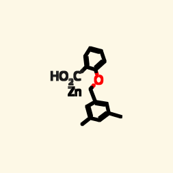 Cc1cc(C)cc(COc2ccccc2C(=O)O)c1.[Zn]